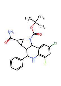 CC(C)(C)OC(=O)N1C2c3cc(Cl)cc(F)c3NC(c3ccccc3)C2C2C(C(N)=O)C21